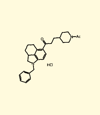 CC(=O)N1CCC(CCC(=O)c2ccc3c4c2CCCC4CN3Cc2ccccc2)CC1.Cl